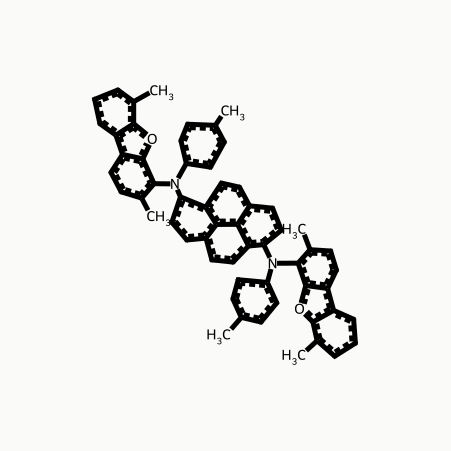 Cc1ccc(N(c2ccc3ccc4c(N(c5ccc(C)cc5)c5c(C)ccc6c5oc5c(C)cccc56)ccc5ccc2c3c54)c2c(C)ccc3c2oc2c(C)cccc23)cc1